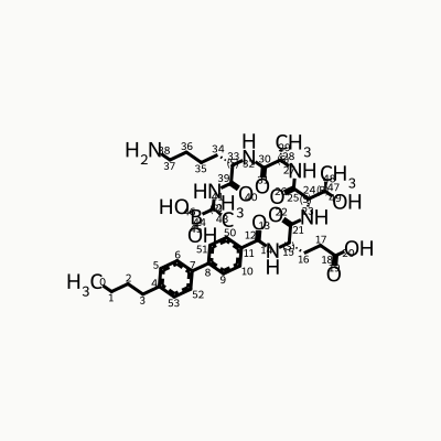 CCCCc1ccc(-c2ccc(C(=O)N[C@@H](CCC(=O)O)C(=O)N[C@H](C(=O)N[C@@H](C)C(=O)N[C@@H](CCCCN)C(=O)N[C@@H](C)B(O)O)[C@@H](C)O)cc2)cc1